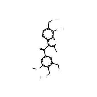 COc1cc(C(=O)c2c(C)oc3c(O)c(CO)ccc23)cc(CO)c1CO